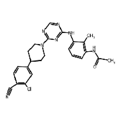 CC(=O)Nc1cccc(Nc2ncnc(N3CCC(c4ccc(C#N)c(Cl)c4)CC3)n2)c1C